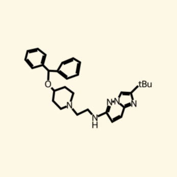 CC(C)(C)c1cn2nc(NCCN3CCC(OC(c4ccccc4)c4ccccc4)CC3)ccc2n1